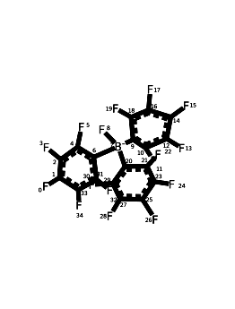 Fc1c(F)c(F)c([B-](F)(c2c(F)c(F)c(F)c(F)c2F)c2c(F)c(F)c(F)c(F)c2F)c(F)c1F